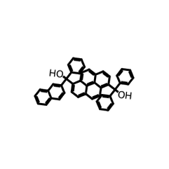 OC(c1ccccc1)(c1ccccc1)c1ccc2ccc3c(C(O)(c4ccccc4)c4ccc5ccccc5c4)ccc4ccc1c2c43